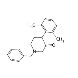 Cc1cccc(C)c1C1CCN(Cc2ccccc2)CC1=O